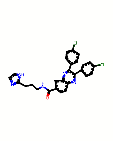 O=C(NCCCc1ncc[nH]1)c1ccc2nc(-c3ccc(Cl)cc3)c(-c3ccc(Cl)cc3)nc2c1